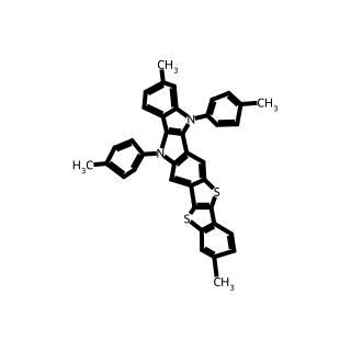 Cc1ccc(-n2c3cc(C)ccc3c3c2c2cc4sc5c6ccc(C)cc6sc5c4cc2n3-c2ccc(C)cc2)cc1